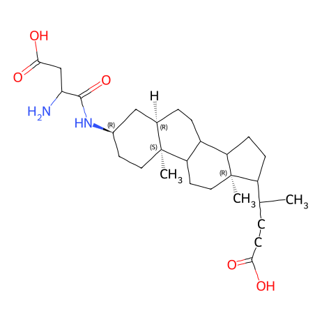 CC(CCC(=O)O)C1CCC2C3CC[C@@H]4C[C@H](NC(=O)C(N)CC(=O)O)CC[C@]4(C)C3CC[C@]12C